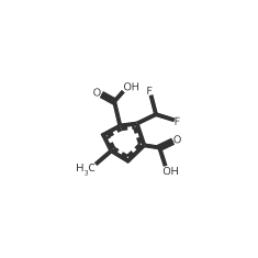 Cc1cc(C(=O)O)c(C(F)F)c(C(=O)O)c1